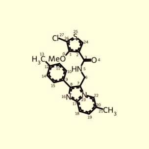 COc1c(C(=O)NCc2c(-c3ccc(C)cc3)nc3ccc(C)cn23)csc1Cl